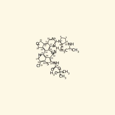 CC(C)N[C@H]1CCN(c2ncc3c4c(c(-c5ncc(Cl)c6sc(NC(=O)OC(C)(C)C)c(C#N)c56)c(F)c3n2)COC4)[C@H]1C